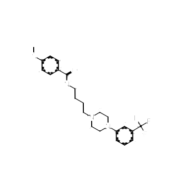 CSc1ccc(C(=O)NCCCCN2CCN(c3cccc(C(F)(F)F)c3)CC2)cc1